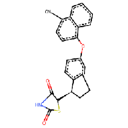 [C-]#[N+]c1ccc(Oc2ccc3c(c2)CC[C@H]3C2SC(=O)NC2=O)c2ccccc12